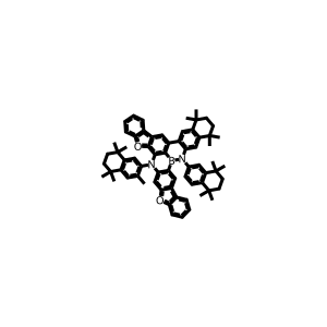 Cc1cc2c(cc1N1c3cc4oc5ccccc5c4cc3B3c4c(cc5c(oc6ccccc65)c41)-c1cc4c(cc1N3c1ccc3c(c1)C(C)(C)CCC3(C)C)C(C)(C)CCC4(C)C)C(C)(C)CCC2(C)C